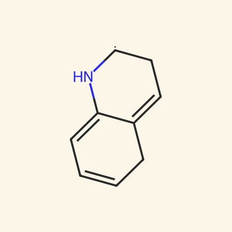 [CH]1CC=C2CC=CC=C2N1